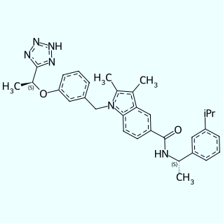 Cc1c(C)n(Cc2cccc(O[C@@H](C)c3nn[nH]n3)c2)c2ccc(C(=O)N[C@@H](C)c3cccc(C(C)C)c3)cc12